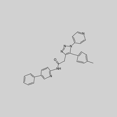 Cc1ccc(-c2c(CC(=O)Nc3ccc(-c4ccccc4)cn3)nnn2-c2ccncc2)cc1